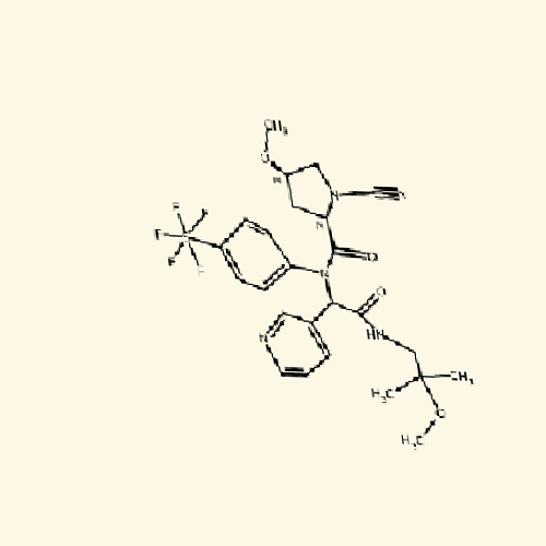 CO[C@@H]1C[C@H](C(=O)N(c2ccc(S(F)(F)(F)(F)F)cc2)C(C(=O)NCC(C)(C)OC)c2cccnc2)N(C#N)C1